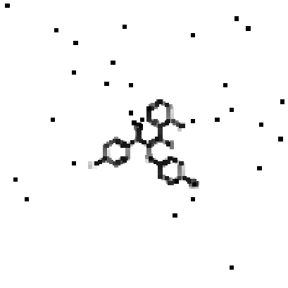 O=C(C(Sc1ccc(Br)cc1)=C(I)c1ccccc1F)c1ccc(Cl)cc1